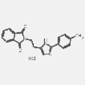 Cc1ccc(-c2ncc(CCN3C(=O)c4ccccc4C3=O)[nH]2)cc1.Cl